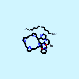 C1=Cc2cc3c(-c4ccccn4)c(-c4ccccn4)c(c(-c4ccccn4)c4nc(cc5ccc(cc1n2)[nH]5)C=C4)n3-c1ccccn1.CCCCCCCCCCCCC[CH2][Ru][CH2]CCCCCCCCCCCCC.[Zn]